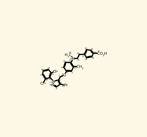 Cc1cc(OCc2c(C(C)C)cnn2-c2c(Cl)cccc2Cl)ccc1N(C)CCc1ccc(C(=O)O)cc1